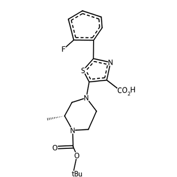 C[C@@H]1CN(c2sc(-c3ccccc3F)nc2C(=O)O)CCN1C(=O)OC(C)(C)C